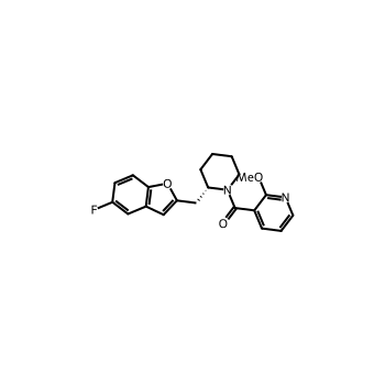 COc1ncccc1C(=O)N1CCCC[C@H]1Cc1cc2cc(F)ccc2o1